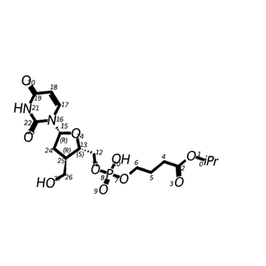 CC(C)OC(=O)CCCOP(=O)(O)OC[C@H]1O[C@@H](n2ccc(=O)[nH]c2=O)C[C@@H]1CO